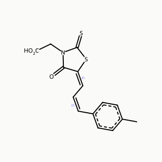 Cc1ccc(/C=C\C=C2\SC(=S)N(CC(=O)O)C2=O)cc1